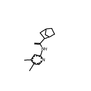 C=C(Nc1cc(C)c(C)cn1)C1CC2CCC1C2